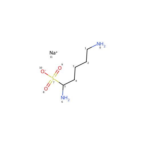 NCCCCC(N)S(=O)(=O)[O-].[Na+]